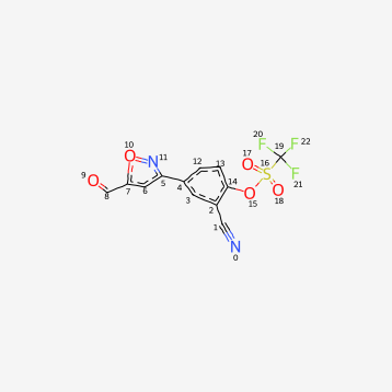 N#Cc1cc(-c2cc(C=O)on2)ccc1OS(=O)(=O)C(F)(F)F